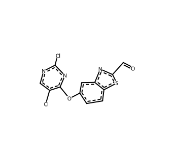 O=Cc1nc2cc(Oc3nc(Cl)ncc3Cl)ccc2s1